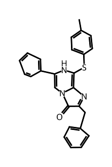 Cc1ccc(Sc2[nH]c(-c3ccccc3)cn3c(=O)c(Cc4ccccc4)nc2-3)cc1